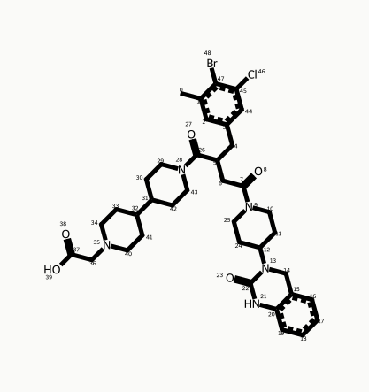 Cc1cc(CC(CC(=O)N2CCC(N3Cc4ccccc4NC3=O)CC2)C(=O)N2CCC(C3CCN(CC(=O)O)CC3)CC2)cc(Cl)c1Br